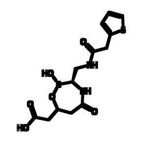 O=C(O)CC1CC(=O)N[C@H](CNC(=O)Cc2cccs2)B(O)O1